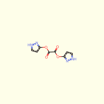 O=C(Oc1cc[nH]n1)C(=O)Oc1cc[nH]n1